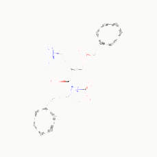 CN(C)CC(COCc1ccccc1)C(=O)N1C(=O)OCC1Cc1ccccc1